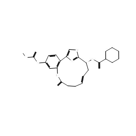 COC(=O)Nc1ccc2c(c1)NC(=O)CC/C=C/C[C@H](NC(=O)C1CCCCC1)c1nc-2c[nH]1